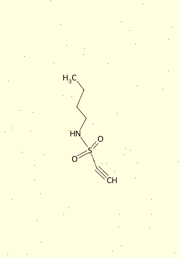 C#CS(=O)(=O)NCCCC